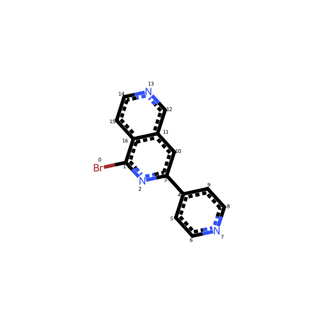 Brc1nc(-c2ccncc2)cc2cnccc12